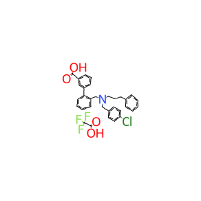 O=C(O)C(F)(F)F.O=C(O)c1cccc(-c2ccccc2CN(CCCc2ccccc2)Cc2ccc(Cl)cc2)c1